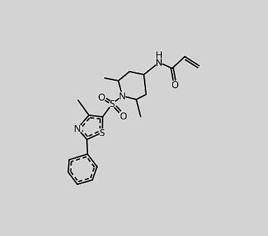 C=CC(=O)NC1CC(C)N(S(=O)(=O)c2sc(-c3ccccc3)nc2C)C(C)C1